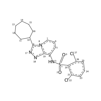 O=S(=O)(Nc1cccn2c(C3CCCCCC3)nnc12)c1c(Cl)cccc1Cl